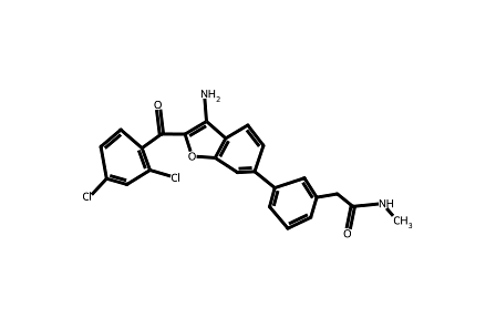 CNC(=O)Cc1cccc(-c2ccc3c(N)c(C(=O)c4ccc(Cl)cc4Cl)oc3c2)c1